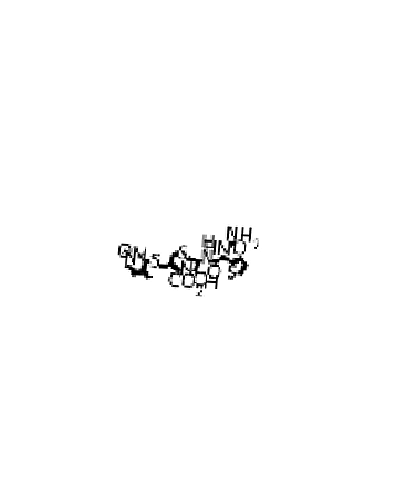 Cc1cc[n+]([O-])nc1SCC1=C(C(=O)O)N2C(=O)[C@H](NC(=O)C(NC(N)=O)c3cccs3)C2SC1